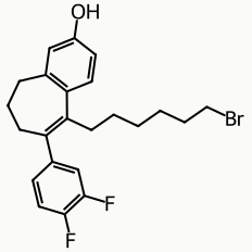 Oc1ccc2c(c1)CCCC(c1ccc(F)c(F)c1)=C2CCCCCCBr